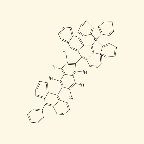 [2H]c1c(-c2c3ccccc3c([Si](c3ccccc3)(c3ccccc3)c3ccccc3)c3cc4ccccc4cc23)c([2H])c2c([2H])c([2H])c(-c3c4ccccc4c(-c4ccccc4)c4ccccc34)c([2H])c2c1[2H]